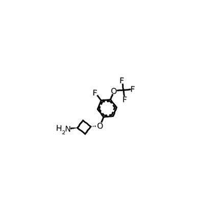 N[C@H]1C[C@H](Oc2ccc(OC(F)(F)F)c(F)c2)C1